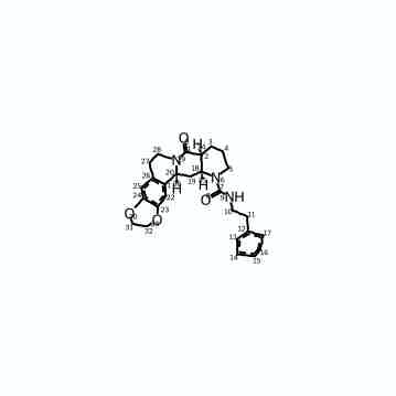 O=C1[C@@H]2CCCN(C(=O)NCCc3ccccc3)[C@@H]2C[C@@H]2c3cc4c(cc3CCN12)OCCO4